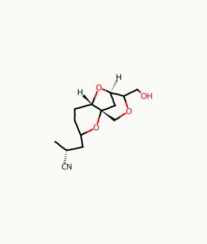 C[C@@H](C#N)CC1CC[C@@H]2O[C@@H]3C[C@]2(COC3CO)O1